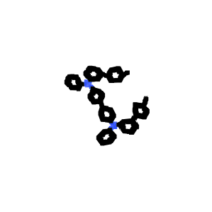 Cc1ccc(-c2cccc(N(c3ccccc3)c3ccc(-c4ccc(N(c5ccccc5)c5cccc(-c6ccc(C)cc6)c5)cc4)cc3)c2)cc1